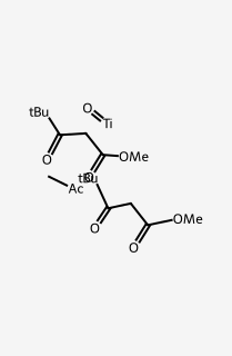 CC(C)=O.COC(=O)CC(=O)C(C)(C)C.COC(=O)CC(=O)C(C)(C)C.[O]=[Ti]